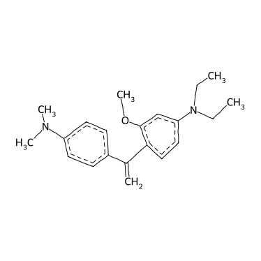 C=C(c1ccc(N(C)C)cc1)c1ccc(N(CC)CC)cc1OC